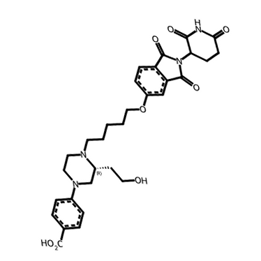 O=C1CCC(N2C(=O)c3ccc(OCCCCCN4CCN(c5ccc(C(=O)O)cc5)C[C@H]4CCO)cc3C2=O)C(=O)N1